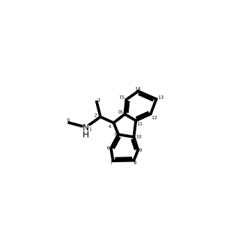 CNC(C)C1c2ccccc2-c2ccccc21